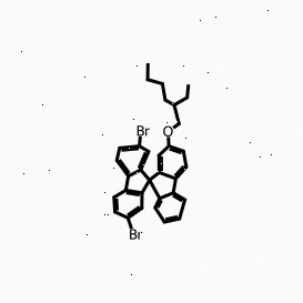 CCCCC(CC)COc1ccc2c(c1)C1(c3ccccc3-2)c2cc(Br)ccc2-c2ccc(Br)cc21